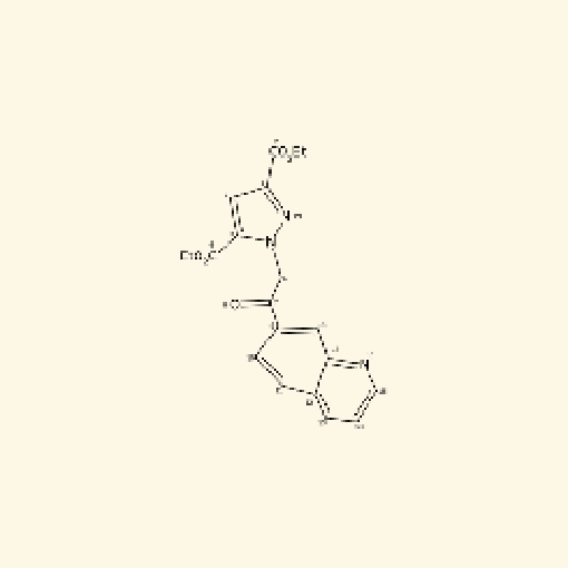 CCOC(=O)c1cc(C(=O)OCC)n(CC(=O)c2ccc3cccnc3c2)n1